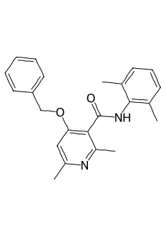 Cc1cc(OCc2ccccc2)c(C(=O)Nc2c(C)cccc2C)c(C)n1